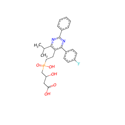 CC(C)c1nc(-c2ccccc2)nc(-c2ccc(F)cc2)c1CCP(=O)(O)CC(O)CC(=O)O